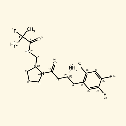 CC(C)(F)C(=O)NC[C@@H]1CCCN1C(=O)C[C@H](N)Cc1cc(F)c(F)cc1F